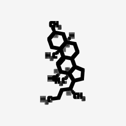 CCC[C@@H](C)C1CCC2C3CC[C@@H]4C[C@H](C)CC[C@]4(C)C3=C[C@@H](O)[C@@]21C